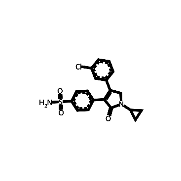 NS(=O)(=O)c1ccc(C2=C(c3cccc(Cl)c3)CN(C3CC3)C2=O)cc1